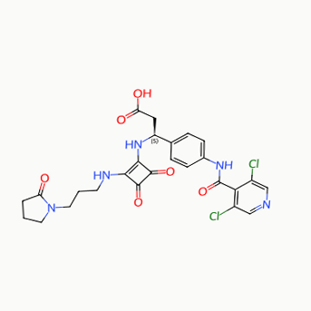 O=C(O)C[C@H](Nc1c(NCCCN2CCCC2=O)c(=O)c1=O)c1ccc(NC(=O)c2c(Cl)cncc2Cl)cc1